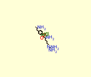 C[C@@H](N)Cc1ccc(OC(=O)C(N)CCCCN=C(N)N)cc1.Cl.Cl